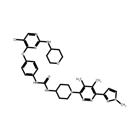 Cc1c(-c2ccn(C)n2)nnc(N2CCC(NC(=O)Nc3ccc(Oc4nc(NC5CCOCC5)ncc4Cl)cc3)CC2)c1C